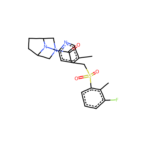 Cc1ccc(N2C3CCC2CN(C(=O)CCS(=O)(=O)c2cccc(F)c2C)C3)nc1